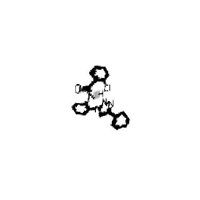 O=C(Nc1ccccc1-n1cc(-c2ccccc2)nn1)c1ccccc1Cl